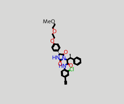 C#Cc1ccc(NC(=O)C([C@@H](C)c2ccccc2)N2C(=O)N[C@H](c3ccc(OCCOCCOC)cc3)C2=O)c(Cl)c1